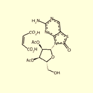 CC(=O)O[C@@H]1[C@H](OC(C)=O)[C@@H](CO)O[C@H]1n1c(=O)sc2cnc(N)nc21.O=C(O)/C=C\C(=O)O